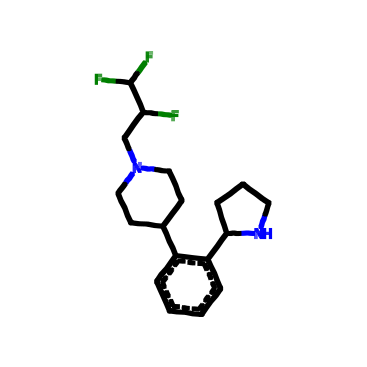 FC(F)C(F)CN1CCC(c2ccccc2C2CCCN2)CC1